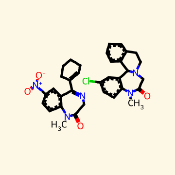 CN1C(=O)CN2CCc3ccccc3C2c2cc(Cl)ccc21.CN1C(=O)CN=C(C2=CCCCC2)c2cc([N+](=O)[O-])ccc21